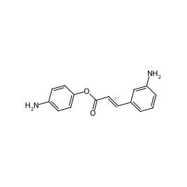 Nc1ccc(OC(=O)/C=C/c2cccc(N)c2)cc1